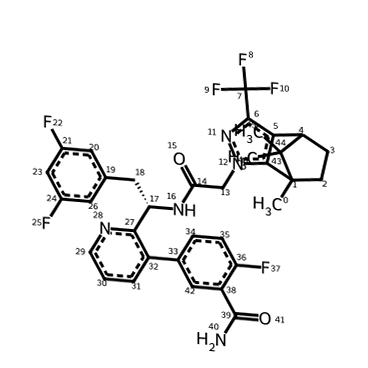 CC12CCC(c3c(C(F)(F)F)nn(CC(=O)N[C@@H](Cc4cc(F)cc(F)c4)c4ncccc4-c4ccc(F)c(C(N)=O)c4)c31)C2(C)C